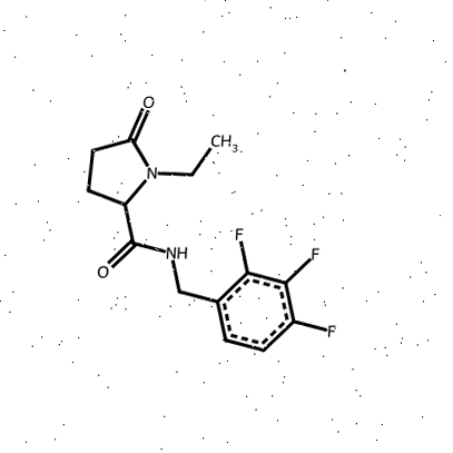 CCN1C(=O)CCC1C(=O)NCc1ccc(F)c(F)c1F